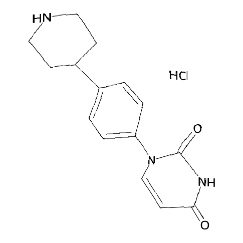 Cl.O=c1ccn(-c2ccc(C3CCNCC3)cc2)c(=O)[nH]1